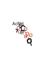 CC(=O)N[C@H]1CO[C@H](COS(=O)(=O)c2ccc(C)cc2)[C@@H]2OC(C)(C)O[C@@H]21